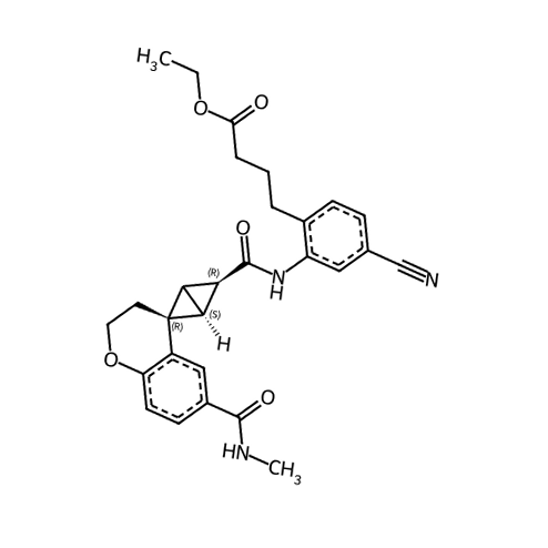 CCOC(=O)CCCc1ccc(C#N)cc1NC(=O)[C@@H]1C2[C@@H]1[C@@]21CCOc2ccc(C(=O)NC)cc21